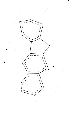 [C]1c2ccccc2-c2cc3ccccc3cc21